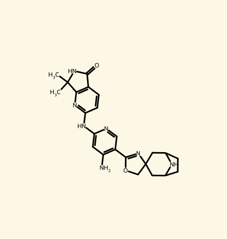 CC1(C)NC(=O)c2ccc(Nc3cc(N)c(C4=NC5(CO4)CC4CCC(C5)N4)cn3)nc21